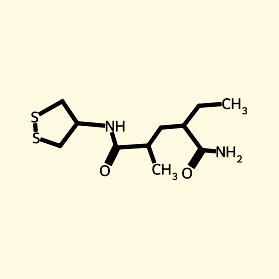 CCC(CC(C)C(=O)NC1CSSC1)C(N)=O